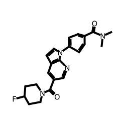 CN(C)C(=O)c1ccc(-n2ccc3cc(C(=O)N4CCC(F)CC4)cnc32)cc1